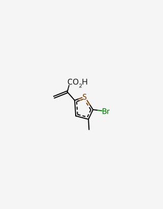 C=C(C(=O)O)c1cc(C)c(Br)s1